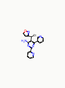 CCC(c1ccon1)c1c(N)nc(-c2ccccn2)nc1-c1cccnc1